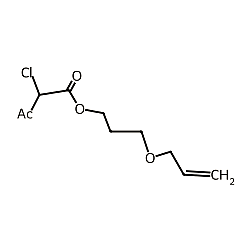 C=CCOCCCOC(=O)C(Cl)C(C)=O